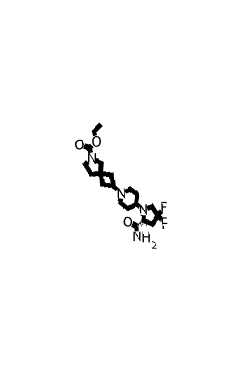 CCOC(=O)N1CCC2(CC(N3CCC(N4CC(F)(F)C[C@@H]4C(N)=O)CC3)C2)C1